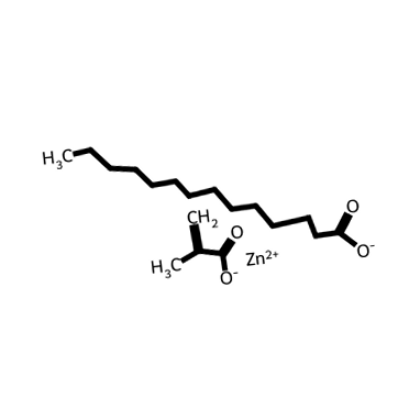 C=C(C)C(=O)[O-].CCCCCCCCCCCCCC(=O)[O-].[Zn+2]